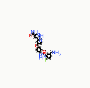 NCc1ccc(F)c(NC(=O)Nc2ccc(Oc3ccnc(-c4cc(C(N)=O)c[nH]4)c3)cc2)c1